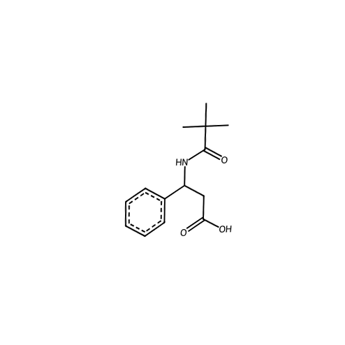 CC(C)(C)C(=O)NC(CC(=O)O)c1ccccc1